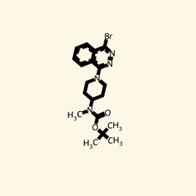 CN(C(=O)OC(C)(C)C)C1CCN(c2nnc(Br)c3ccccc23)CC1